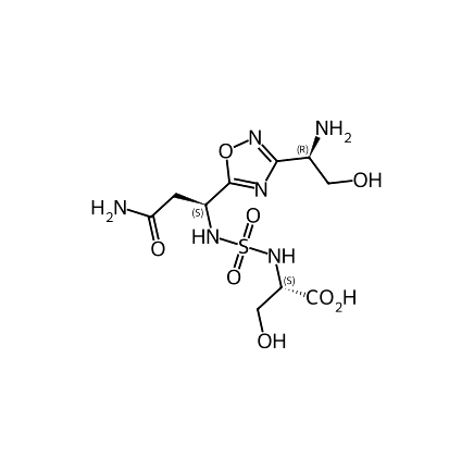 NC(=O)C[C@H](NS(=O)(=O)N[C@@H](CO)C(=O)O)c1nc([C@@H](N)CO)no1